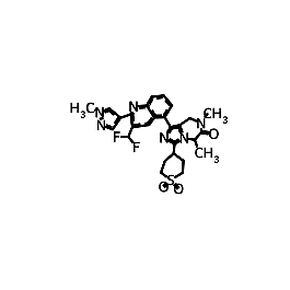 CC1C(=O)N(C)Cc2c(-c3cccc4nc(-c5cnn(C)c5)c(C(F)F)cc34)nc(C3CCS(=O)(=O)CC3)n21